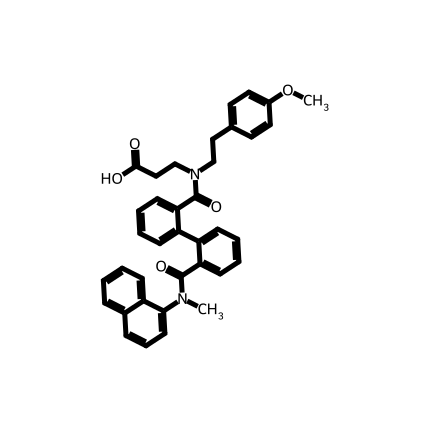 COc1ccc(CCN(CCC(=O)O)C(=O)c2ccccc2-c2ccccc2C(=O)N(C)c2cccc3ccccc23)cc1